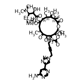 CCO[C@@H](O[C@@H]1[C@@H](C)C(=O)[C@](C)(F)C(=O)O[C@H](CC)[C@@]2(C)OC(=O)N(CC#CCn3cc(-c4cc(N)ncn4)nn3)[C@@H]2[C@@H](C)C(=O)[C@H](C)C[C@@]1(C)OC)C(O)C(CC)N(C)C